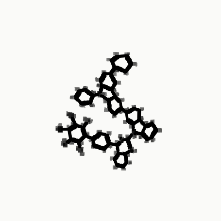 [2H]c1c([2H])c([2H])c(-c2ccc(-c3nc(-n4c5ccccc5c5ccc(-c6ccc7c(c6)c6cc(-c8ccccc8)ccc6n7-c6ccccc6)cc54)nc4ccccc34)cc2)c([2H])c1[2H]